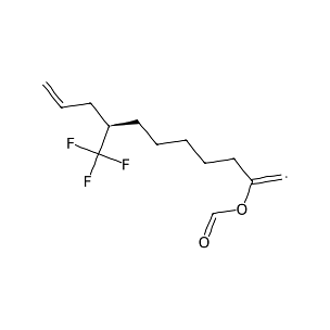 [CH]=C(CCCCC[C@H](CC=C)C(F)(F)F)OC=O